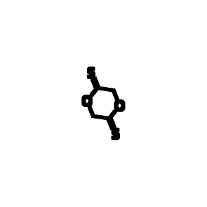 S=C1COC(=S)CO1